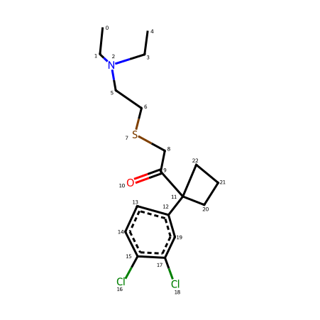 CCN(CC)CCSCC(=O)C1(c2ccc(Cl)c(Cl)c2)CCC1